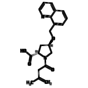 C=C(C)CC(=O)N1C[C@H](OCc2cccc3cccnc23)C[C@H]1C(=O)O